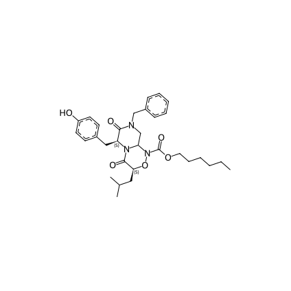 CCCCCCOC(=O)N1O[C@@H](CC(C)C)C(=O)N2C1CN(Cc1ccccc1)C(=O)[C@@H]2Cc1ccc(O)cc1